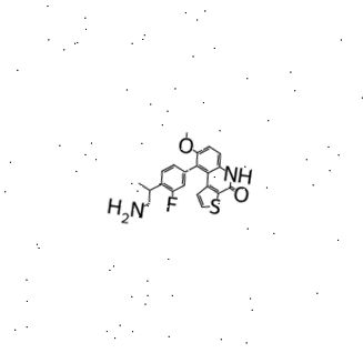 COc1ccc2[nH]c(=O)c3sccc3c2c1-c1ccc(C(C)CN)c(F)c1